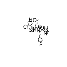 CC(O)CC[C@@H](C(=O)N[C@@H](CCc1ccc(F)cc1)C(O)c1nccs1)N1C=CSC1c1ccccc1Cl